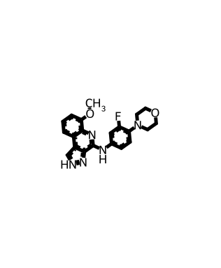 COc1cccc2c1nc(Nc1ccc(N3CCOCC3)c(F)c1)c1n[nH]cc12